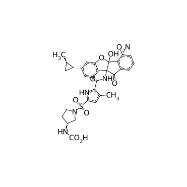 Cc1cc(S(=O)(=O)N2CC[C@H](NC(=O)O)C2)[nH]c1C(=O)NC12C(=O)c3cccc([N+](=O)[O-])c3C1(O)Oc1cc([C@@H]3C[C@H]3C)ccc12